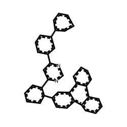 c1ccc(-c2cccc(-c3cc(-c4ccccc4-c4ccc5c6ccccc6c6ccccc6c5c4)ncn3)c2)cc1